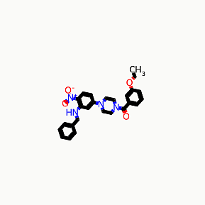 CCOc1cccc(C(=O)N2CCN(c3ccc([N+](=O)[O-])c(NCc4ccccc4)c3)CC2)c1